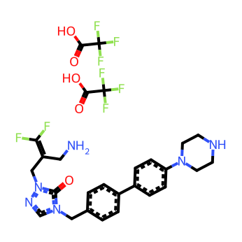 NCC(Cn1ncn(Cc2ccc(-c3ccc(N4CCNCC4)cc3)cc2)c1=O)=C(F)F.O=C(O)C(F)(F)F.O=C(O)C(F)(F)F